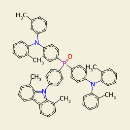 Cc1cccc(N(c2ccc(P(=O)(c3ccc(N(c4ccccc4C)c4ccccc4C)cc3)c3ccc(-n4c5c(C)cccc5c5cccc(C)c54)cc3)cc2)c2ccccc2C)c1